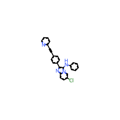 Clc1ccc2nc(-c3ccc(C#Cc4ccccn4)cc3)c(Nc3ccccc3)n2c1